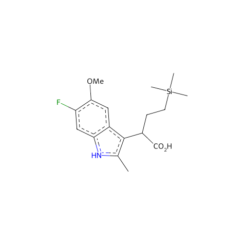 COc1cc2c(C(CC[Si](C)(C)C)C(=O)O)c(C)[nH]c2cc1F